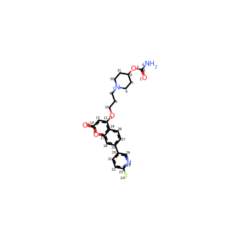 NC(=O)OC1CCN(CCCOc2cc(=O)oc3cc(-c4ccc(F)nc4)ccc23)CC1